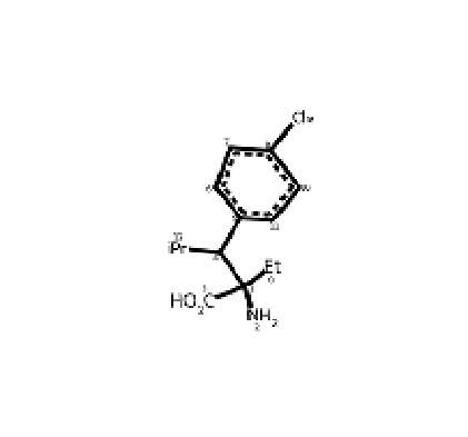 CCC(N)(C(=O)O)C(c1ccc(Cl)cc1)C(C)C